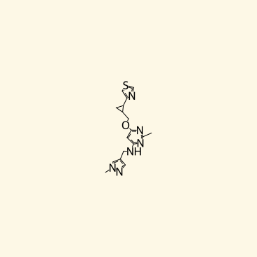 Cc1nc(NCc2cnn(C)c2)cc(OCC2CC2c2cscn2)n1